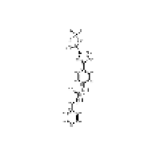 CC(C)(C)OC(=O)n1cc(-c2ccc(NC(=S)NCc3ccccc3)cc2)cn1